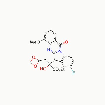 CCOC(=O)C(O)(CC1OCO1)C1c2cc(F)ccc2-n2c1nc1c(OC)cccc1c2=O